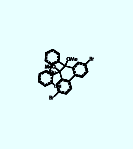 COC1(c2ccccc2C(C)(C)C)c2cc(Br)ccc2-c2ccc(Br)cc2C1(OC)c1ccccc1C(C)(C)C